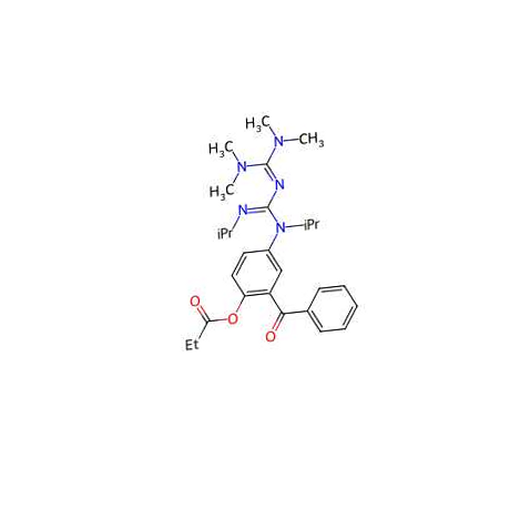 CCC(=O)Oc1ccc(N(C(N=C(N(C)C)N(C)C)=NC(C)C)C(C)C)cc1C(=O)c1ccccc1